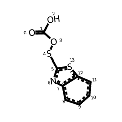 O=C(O)OSc1nc2ccccc2s1